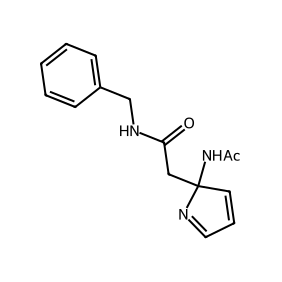 CC(=O)NC1(CC(=O)NCc2ccccc2)C=CC=N1